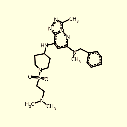 Cc1nnc2c(NC3CCN(S(=O)(=O)CCN(C)C)CC3)cc(N(C)Cc3ccccc3)nn12